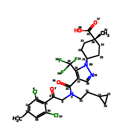 Cc1cc(Cl)c(C(=O)CN(CCC2CC2)C(=O)c2cnn([C@H]3CC[C@](C)(C(=O)O)CC3)c2C(F)(F)F)c(Cl)c1